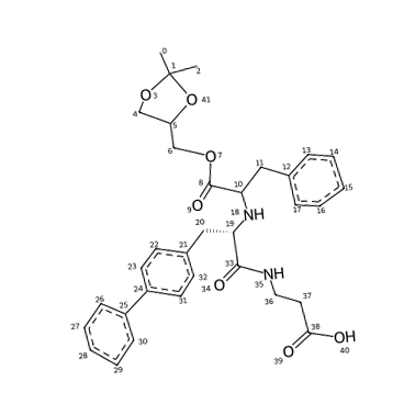 CC1(C)OCC(COC(=O)C(Cc2ccccc2)N[C@@H](Cc2ccc(-c3ccccc3)cc2)C(=O)NCCC(=O)O)O1